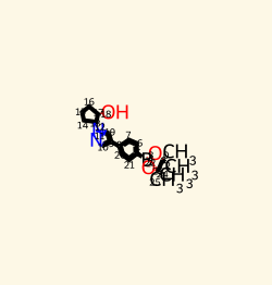 CC1(C)OB(c2ccc(-c3cnn([C@H]4CCC[C@@H]4O)c3)cc2)OC1(C)C